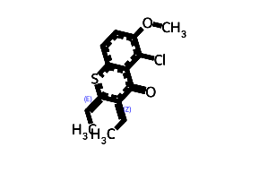 C/C=c1/c(=O)c2c(Cl)c(OC)ccc2s/c1=C/C